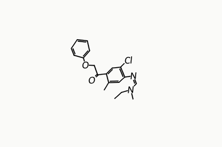 CCN(C)/C=N\c1cc(C)c(C(=O)COc2ccccc2)cc1Cl